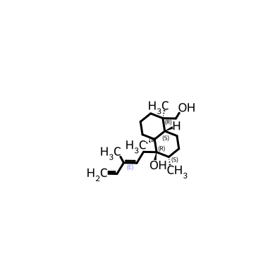 C=C/C(C)=C/C[C@@]1(O)[C@@H](C)CC[C@H]2[C@](C)(CO)CCC[C@@]21C